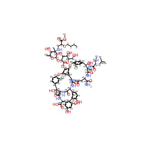 CCCCOC(CNC1(C)CC(OC2C(Oc3c4cc5cc3Oc3ccc(cc3Cl)[C@@H](O)[C@@H]3NC(=O)C(NC(=O)C5NC(=O)CC(C(N)=O)NC(=O)[C@@H](NC(=O)[C@@H](CC(C)C)NC)C(O)c5ccc(c(Cl)c5)O4)c4ccc(O)c(c4)-c4c(O)cc(O)cc4C(C(=O)O)NC3=O)OC(CO)C(O)C2O)OC(C)C1O)C(=O)OC